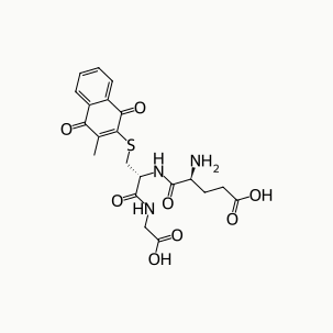 CC1=C(SC[C@H](NC(=O)[C@@H](N)CCC(=O)O)C(=O)NCC(=O)O)C(=O)c2ccccc2C1=O